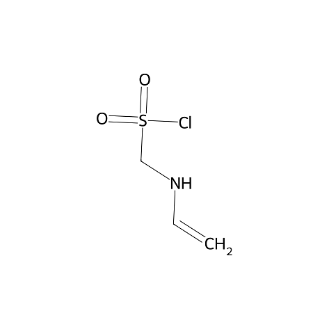 C=CNCS(=O)(=O)Cl